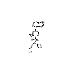 N#CCCCN(C1COC1)S(=O)(=O)N1CCN(c2ncnc3[nH]ccc23)CC12CC2